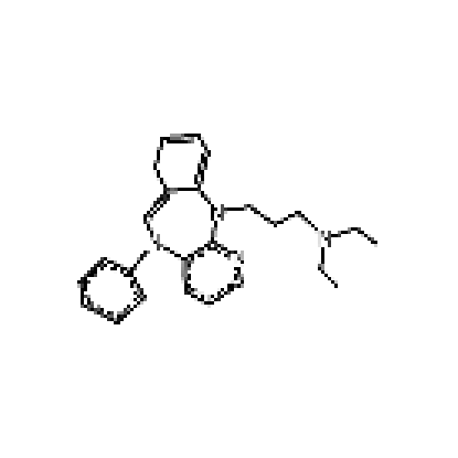 CCN(CC)CCCN1C2=CC=CCC2=CN(c2ccccc2)c2cccnc21